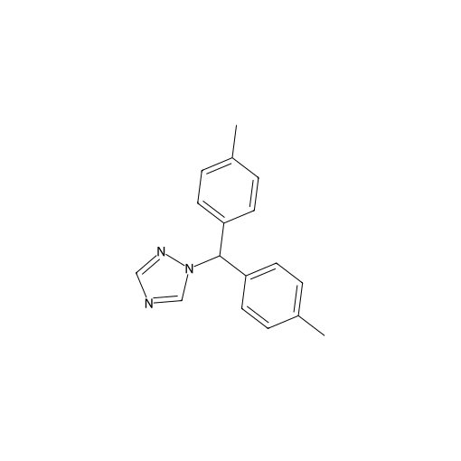 Cc1ccc(C(c2ccc(C)cc2)n2cncn2)cc1